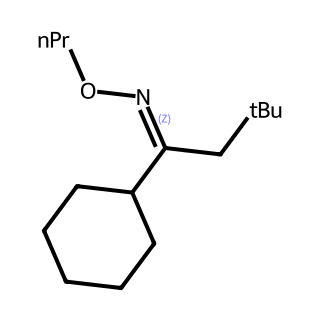 CCCO/N=C(/CC(C)(C)C)C1CCCCC1